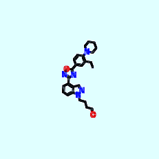 CCc1cc(-c2nc(-c3cccc4c3cnn4CCCC=O)no2)ccc1N1CCCCC1